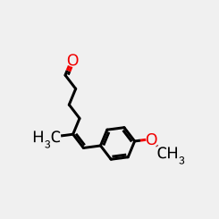 COc1ccc(/C=C(/C)CCCC=O)cc1